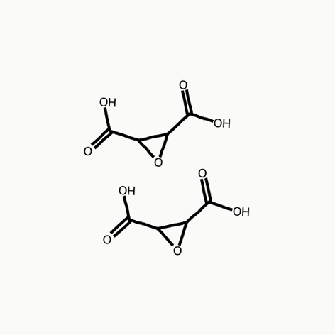 O=C(O)C1OC1C(=O)O.O=C(O)C1OC1C(=O)O